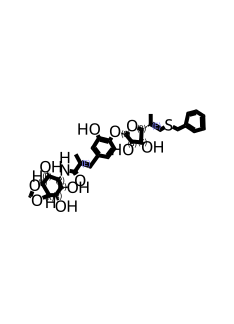 C/C(=C\c1ccc(O[C@@H]2O[C@H](/C(C)=C/SCc3ccccc3)[C@@H](O)[C@@H]2O)c(O)c1)C(=O)N[C@@H]1[C@H](O)[C@@H](O)[C@H]2OCO[C@H]2[C@@H]1O